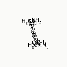 CCC(C)(C)C(=O)OCCOCOCCSCC(C)C(N)=O